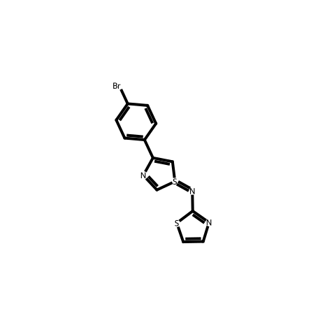 Brc1ccc(C2=CS(=Nc3nccs3)C=N2)cc1